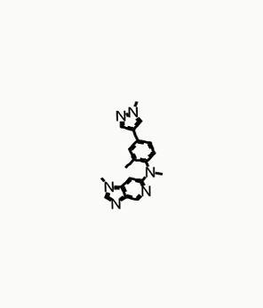 Cc1cc(-c2cnn(C)c2)ccc1N(C)c1cc2c(cn1)ncn2C